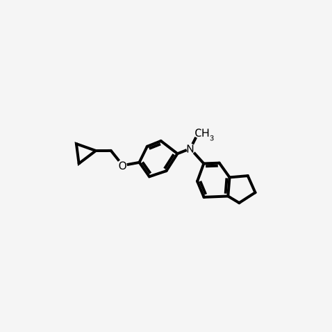 CN(c1ccc(OCC2CC2)cc1)c1ccc2c(c1)CCC2